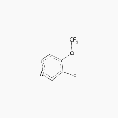 Fc1[c]nccc1OC(F)(F)F